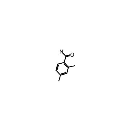 Cc1ccc(C([N])=O)c(C)c1